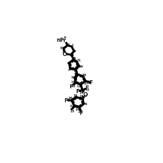 CCCC1CCC(c2ccc(-c3cc(F)c(C(F)(F)Oc4cc(F)c(C)c(F)c4)c(F)c3)cc2)OC1